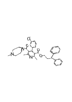 Cc1nc(C)c(C(=O)N2CCN(C)CC2)c(-c2cccc(Cl)c2)c1C(=O)OCCC(c1ccccc1)c1ccccc1